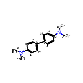 CC(C)N(c1ccc(-c2ccc(N(C(C)C)C(C)C)cc2)cc1)C(C)C